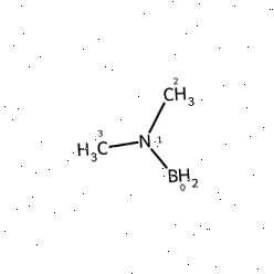 BN(C)C